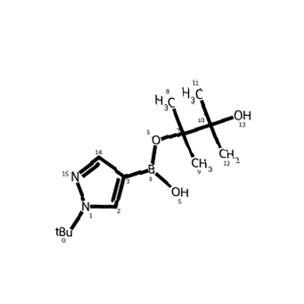 CC(C)(C)n1cc(B(O)OC(C)(C)C(C)(C)O)cn1